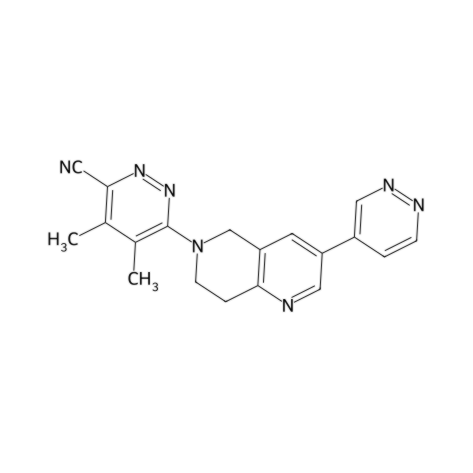 Cc1c(C#N)nnc(N2CCc3ncc(-c4ccnnc4)cc3C2)c1C